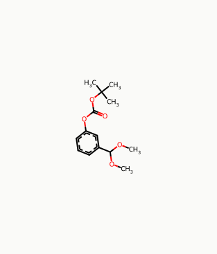 COC(OC)c1cccc(OC(=O)OC(C)(C)C)c1